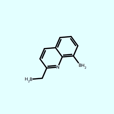 BCc1ccc2cccc(B)c2n1